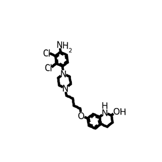 Nc1ccc(N2CCN(CCCCOc3ccc4c(c3)NC(O)CC4)CC2)c(Cl)c1Cl